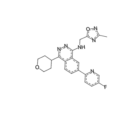 Cc1noc(CNc2nnc(C3CCOCC3)c3ccc(-c4ccc(F)cn4)cc23)n1